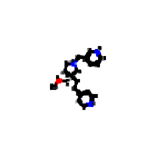 CCOC[C@]1(CCc2ccncc2)CCN(Cc2cccnc2)C1